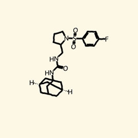 O=C(NCC1CCCN1S(=O)(=O)c1ccc(F)cc1)NC12CC3C[C@H](C1)C[C@@H](C3)C2